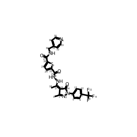 CC1=NN(c2ccc(C(F)(F)F)cc2)C(=O)/C1=C(/C)NNC(=O)c1ccc(C(=O)NCc2ccncc2)s1